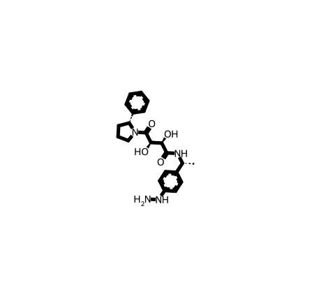 C[C@@H](NC(=O)[C@H](O)[C@@H](O)C(=O)N1CCC[C@@H]1c1ccccc1)c1ccc(NN)cc1